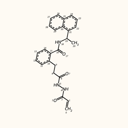 C=CC(=O)NNC(=O)CCc1ccccc1C(=O)NC(C)c1cccc2ccccc12